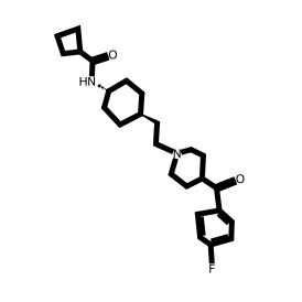 O=C(N[C@H]1CC[C@H](CCN2CCC(C(=O)c3ccc(F)cc3)CC2)CC1)C1CCC1